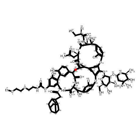 CCOCCOCCNC(=O)Oc1cc(O)c2c(c1)[C@@H](C(=O)CC1C3CC4CC(C3)CC1C4)NC(=O)[C@H]1NC(=O)[C@H](CC(=O)[C@@H]3NC(=O)[C@H](CC(N)=O)CC(=O)[C@H](NC(=O)[C@H](CC)CC(C)C)[C@H](O)c4ccc(c(Cl)c4)Oc4cc3cc(c4O[C@@H]3O[C@H](CO)[C@@H](O)[C@H](O)[C@H]3O[C@H]3C[C@](C)(N)[C@H](O)[C@H](C)O3)Oc3ccc(cc3Cl)[C@H]1O)c1ccc(O)c-2c1